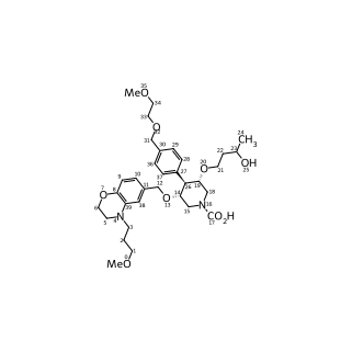 COCCCN1CCOc2ccc(CO[C@H]3CN(C(=O)O)C[C@@H](OCCC(C)O)[C@@H]3c3ccc(COCCOC)cc3)cc21